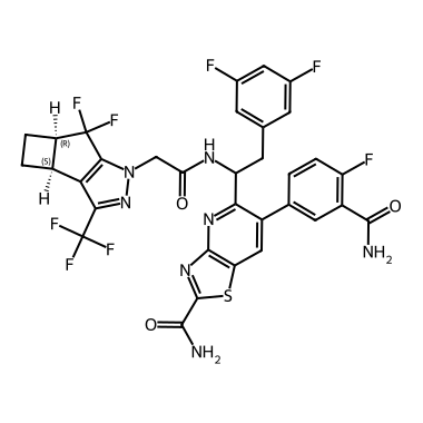 NC(=O)c1nc2nc(C(Cc3cc(F)cc(F)c3)NC(=O)Cn3nc(C(F)(F)F)c4c3C(F)(F)[C@@H]3CC[C@H]43)c(-c3ccc(F)c(C(N)=O)c3)cc2s1